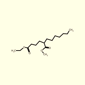 CCCCCCCC(CCCC(=O)OCC)C(=O)OC